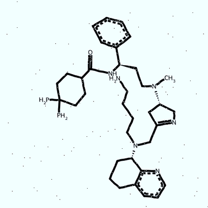 CN(CC[C@@H](NC(=O)C1CCC(P)(P)CC1)c1ccccc1)[C@@H]1CN=C(CN(CCCCN)[C@H]2CCCc3cccnc32)C1